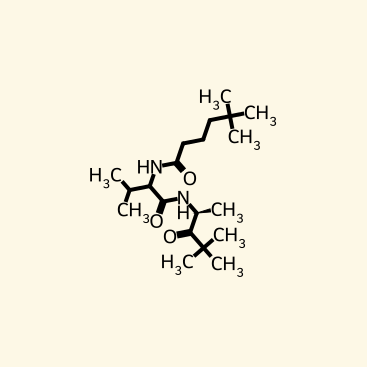 CC(C)C(NC(=O)CCCC(C)(C)C)C(=O)N[C@@H](C)C(=O)C(C)(C)C